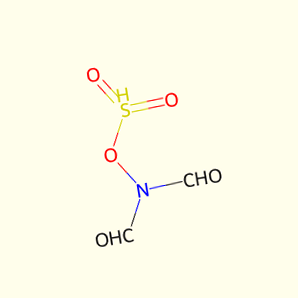 O=CN(C=O)O[SH](=O)=O